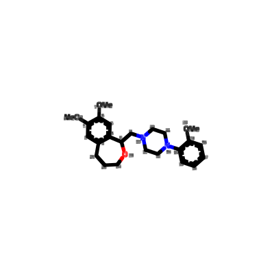 COc1cc2c(cc1OC)C(CN1CCN(c3ccccc3OC)CC1)OCCC2